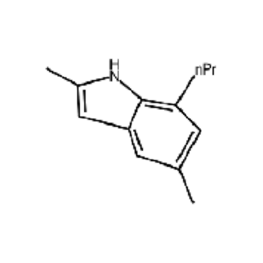 CCCc1cc(C)cc2cc(C)[nH]c12